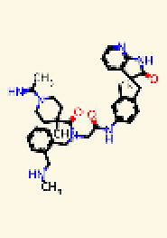 CNCc1ccccc1CN(CC(=O)Nc1ccc2c(c1)C[C@@]1(C2)C(=O)Nc2ncccc21)C(=O)C1(C)CCN(C(C)=N)CC1